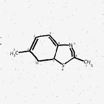 CC1=CC=C2N=C(C)SC2C1